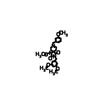 COCN1C(=O)N(Cc2cc(OC)cc(OC)c2)C(=O)C12CCN(Cc1cccc(OC)c1)CC2